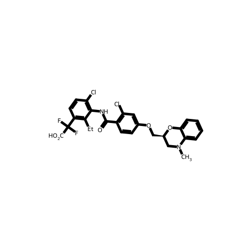 CCc1c(C(F)(F)C(=O)O)ccc(Cl)c1NC(=O)c1ccc(OC[C@@H]2CN(C)c3ccccc3O2)cc1Cl